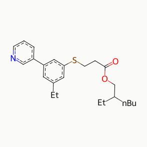 CCCCC(CC)COC(=O)CCSc1cc(CC)cc(-c2cccnc2)c1